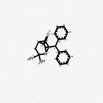 CCCC1(CCC)CC2CCN1C(C(c1ccccc1)c1ccccc1)C2=O